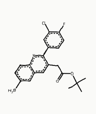 Bc1ccc2nc(-c3ccc(F)c(Cl)c3)c(CC(=O)OC(C)(C)C)cc2c1